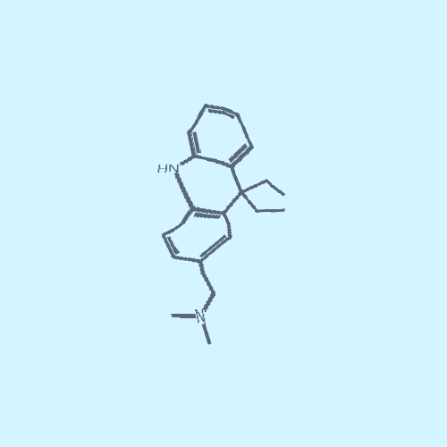 CCC1(CC)c2ccccc2Nc2ccc(CN(C)C)cc21